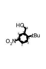 CC(C)(C)c1ccc([N+](=O)[O-])cc1[CH]O